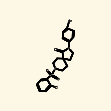 CC(=O)c1ccc(N2CCC3(CCN(S(=O)(=O)c4ccccc4Cl)CC3)C2=O)cc1